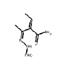 C/C=C(C(N)=O)\C(C)=N/NC=O